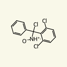 [O-][NH+]C(Cl)(c1ccccc1)c1c(Cl)cccc1Cl